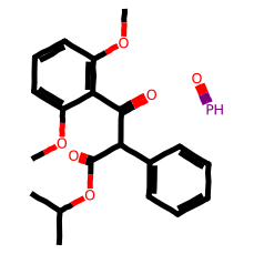 COc1cccc(OC)c1C(=O)C(C(=O)OC(C)C)c1ccccc1.O=P